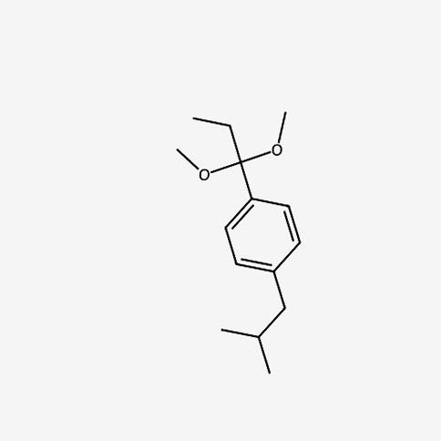 CCC(OC)(OC)c1ccc(CC(C)C)cc1